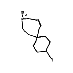 BN1CCC2(CCC(I)CC2)CC1